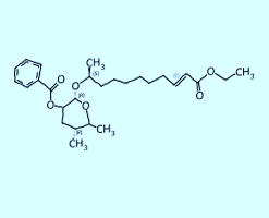 CCOC(=O)/C=C/CCCCCC[C@H](C)O[C@@H]1OC(C)[C@H](C)CC1OC(=O)c1ccccc1